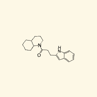 O=C(CCc1cc2ccccc2[nH]1)N1CCCC2CCCCC21